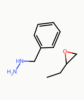 CCC1CO1.NNCc1ccccc1